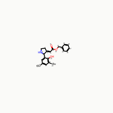 CC(C)(C)c1cc(C2NCC/C2=C\C(=O)OCc2ccccc2)c(O)c(C(C)(C)C)c1